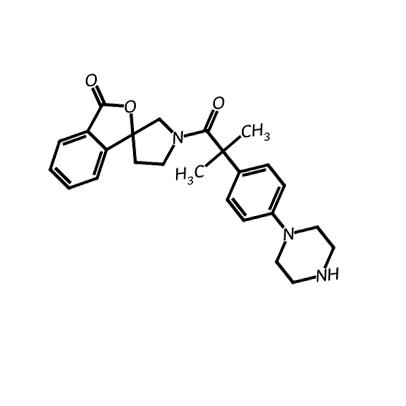 CC(C)(C(=O)N1CCC2(C1)OC(=O)c1ccccc12)c1ccc(N2CCNCC2)cc1